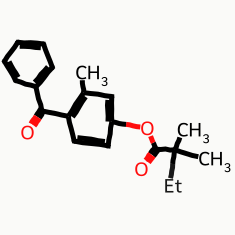 CCC(C)(C)C(=O)Oc1ccc(C(=O)c2ccccc2)c(C)c1